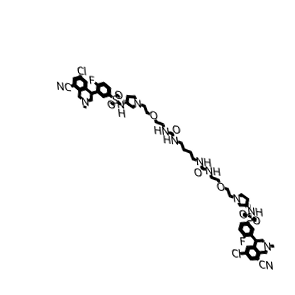 CN1Cc2c(C#N)cc(Cl)cc2C(c2cc(S(=O)(=O)N[C@@H]3CCN(CCOCCNC(=O)NCCCCNC(=O)NCCOCCN4CC[C@@H](NS(=O)(=O)c5ccc(F)c(C6CN(C)Cc7c(C#N)cc(Cl)cc76)c5)C4)C3)ccc2F)C1